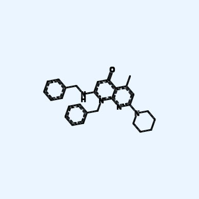 Cc1cc(N2CCCCC2)nc2c1c(=O)cc(NCc1ccccc1)n2Cc1ccccc1